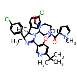 CCOc1cc(C(C)(C)C)ncc1C1=N[C@@](C)(c2ccc(Cl)cc2)[C@@](C)(c2ccc(Cl)cc2)N1C1CN(C(=O)c2cccn2C)CCN1C=O